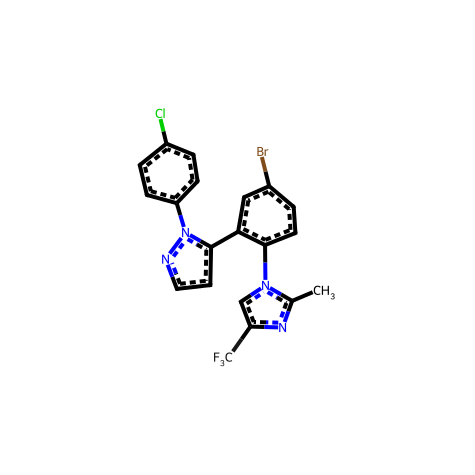 Cc1nc(C(F)(F)F)cn1-c1ccc(Br)cc1-c1ccnn1-c1ccc(Cl)cc1